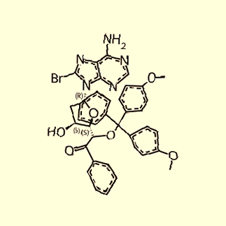 COc1ccc(C(OC(C(=O)c2ccccc2)[C@H]2O[C@@H](n3c(Br)nc4c(N)ncnc43)C[C@@H]2O)(c2ccccc2)c2ccc(OC)cc2)cc1